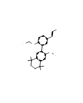 CCCOc1cc2c(cc1-c1cc(/C=C/C(=O)O)ccc1OCOC)C(C)(C)CCC2(C)C